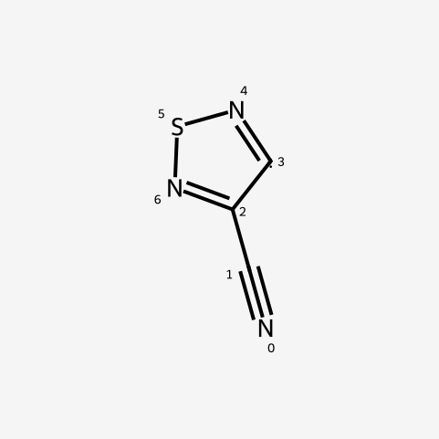 N#Cc1[c]nsn1